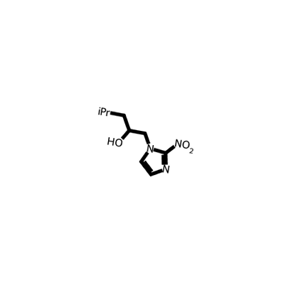 CC(C)CC(O)Cn1ccnc1[N+](=O)[O-]